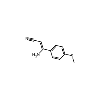 CSc1ccc(C(N)=CC#N)cc1